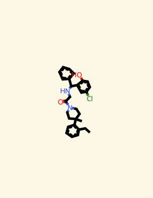 CCc1ccccc1C1(C)CCN(C(=O)CNC(c2ccccc2)c2cc(Cl)ccc2O)CC1